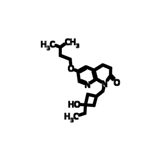 CCC1(O)CC(CN2C(=O)CCc3cc(OCCC(C)C)cnc32)C1